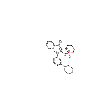 CN(C(=O)O[C@@H]1CC2CC[N+]1(CC(=O)c1ccccc1)CC2)c1cccc(C2CCCCC2)c1